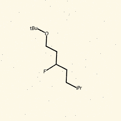 CC(C)CCC(F)CCOC(C)(C)C